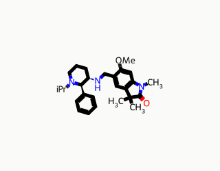 COc1cc2c(cc1CN[C@H]1CCCN(C(C)C)[C@@H]1c1ccccc1)C(C)(C)C(=O)N2C